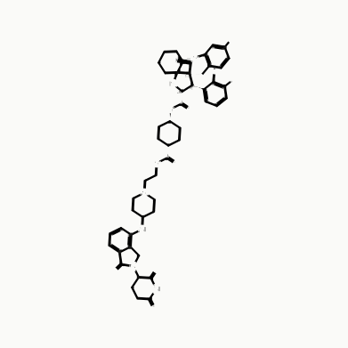 O=C1CCC(N2Cc3c(NC4CCN(CCNC(=O)[C@H]5CC[C@H](NC(=O)[C@@H]6NC7(CCCCC7)[C@]7(Cc8ccc(Cl)cc8NC7=O)[C@H]6c6cccc(Cl)c6F)CC5)CC4)cccc3C2=O)C(=O)N1